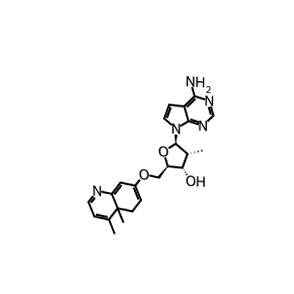 CC1=CC=NC2=CC(OC[C@H]3O[C@@H](n4ccc5c(N)ncnc54)[C@H](C)[C@@H]3O)=CCC12C